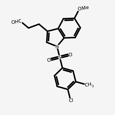 COc1ccc2c(c1)c(CCC=O)cn2S(=O)(=O)c1ccc(Cl)c(C)c1